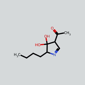 CCCCC1N=CC(C(C)=O)C1(O)O